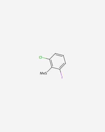 CSc1c(Cl)cccc1I